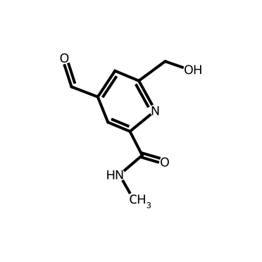 CNC(=O)c1cc(C=O)cc(CO)n1